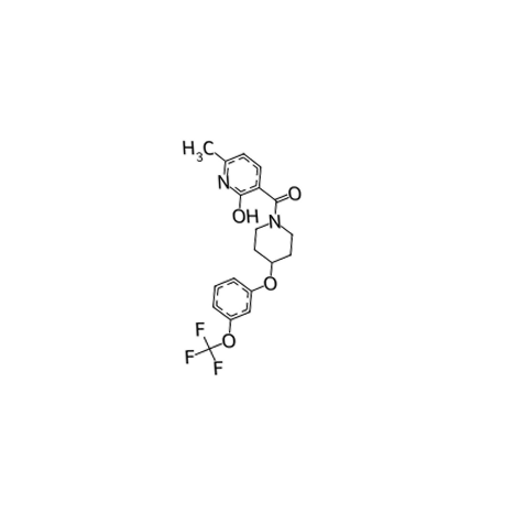 Cc1ccc(C(=O)N2CCC(Oc3cccc(OC(F)(F)F)c3)CC2)c(O)n1